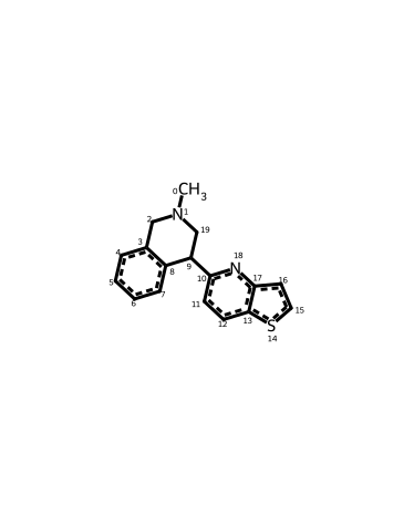 CN1Cc2ccccc2C(c2ccc3sccc3n2)C1